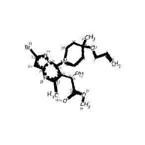 C=CCOC1(C)CCN(c2c([C@H](O)C(=O)OC)c(C)nc3cc(Br)nn23)CC1